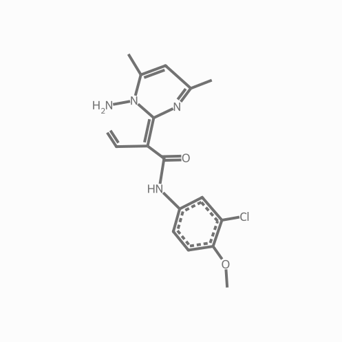 C=C/C(C(=O)Nc1ccc(OC)c(Cl)c1)=C1/N=C(C)C=C(C)N1N